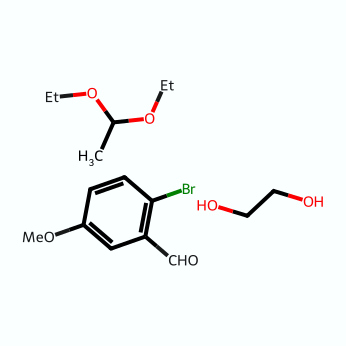 CCOC(C)OCC.COc1ccc(Br)c(C=O)c1.OCCO